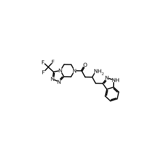 NC(CC(=O)N1CCn2c(nnc2C(F)(F)F)C1)Cc1n[nH]c2ccccc12